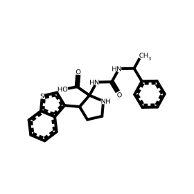 CC(NC(=O)NC1(C(=O)O)NCCC1c1csc2ccccc12)c1ccccc1